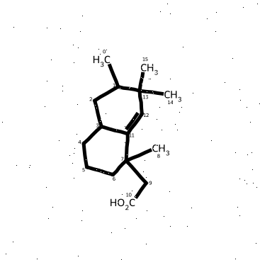 CC1CC2CCCC(C)(CC(=O)O)C2=CC1(C)C